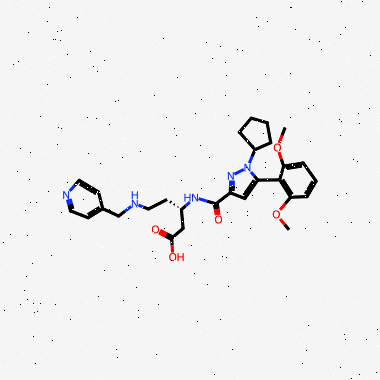 COc1cccc(OC)c1-c1cc(C(=O)N[C@@H](CCNCc2ccncc2)CC(=O)O)nn1C1CCCC1